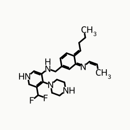 C\C=C/N=C1/C=C(CNC2=CNCC(C(F)F)=C2N2CCNCC2)C=C/C1=C\CCC